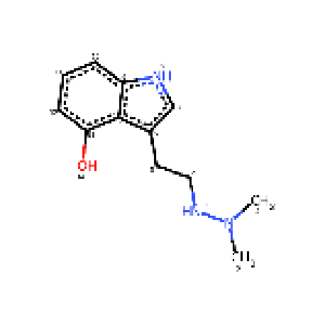 CN(C)NCCc1c[nH]c2cccc(O)c12